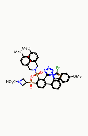 COc1ccc(CN(Cc2ccc(OC)cc2)S(=O)(=O)c2c(S(=O)(=O)C3CN(C(=O)O)C3)ccc(-c3cccc4sc(Br)nc34)c2-c2nnnn2Cc2ccc(OC)cc2)cc1